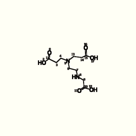 O=C(O)CCN(CCNCC(=O)O)CCC(=O)O